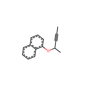 CC#CC(C)Oc1cccc2ccccc12